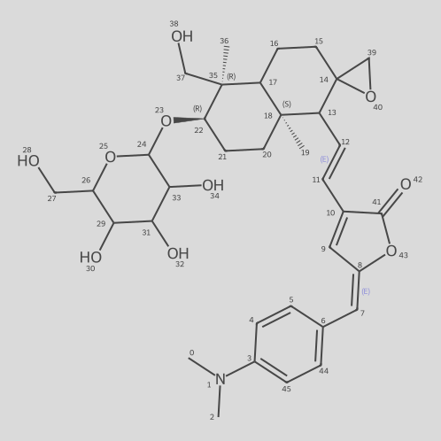 CN(C)c1ccc(/C=C2C=C(/C=C/C3C4(CCC5[C@]3(C)CC[C@@H](OC3OC(CO)C(O)C(O)C3O)[C@@]5(C)CO)CO4)C(=O)O\2)cc1